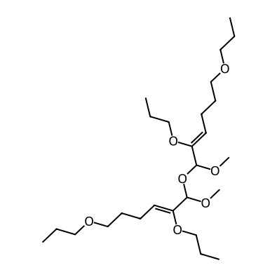 CCCOCCCC=C(OCCC)C(OC)OC(OC)C(=CCCCOCCC)OCCC